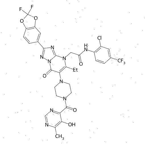 CCc1c(N2CCN(C(=O)c3ncnc(C)c3O)CC2)c(=O)n2nc(-c3ccc4c(c3)OC(F)(F)O4)nc2n1CC(=O)Nc1ccc(C(F)(F)F)cc1Cl